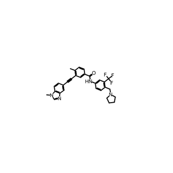 Cc1ccc(C(=O)Nc2ccc(CN3CCCC3)c(C(F)(F)F)c2)cc1C#Cc1ccc2c(c1)ncn2C